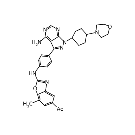 CC(=O)c1cc(C)c2oc(Nc3ccc(-c4nn(C5CCC(N6CCOCC6)CC5)c5ncnc(N)c45)cc3)nc2c1